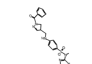 CN(c1ncccn1)S(=O)(=O)c1ccc(NCC2C=NN(C(=O)c3ccccc3)C2)cc1